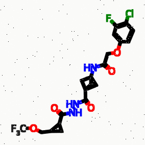 O=C(COc1ccc(Cl)c(F)c1)NC12CC(C(=O)NNC(=O)C3CC3COC(F)(F)F)(C1)C2